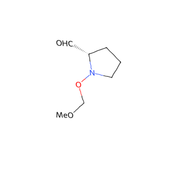 COCON1CCC[C@H]1C=O